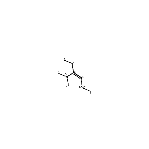 CC/C(=C/NC)N(C)C